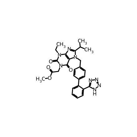 CCn1c(=O)n(CC(=O)OC)c(=O)c2c1nc(C(C)C)n2Cc1ccc(-c2ccccc2-c2nnn[nH]2)cc1